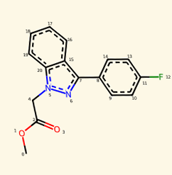 COC(=O)Cn1nc(-c2ccc(F)cc2)c2ccccc21